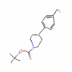 Bc1ccc(C2=CCN(C(=O)OC(C)(C)C)CC2)cc1